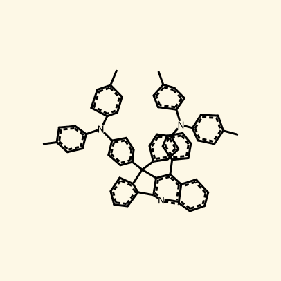 Cc1ccc(N(c2ccc(C)cc2)c2ccc(C3(c4ccc(N(c5ccc(C)cc5)c5ccc(C)cc5)cc4)c4ccccc4-c4nc5ccccc5c(-c5ccccc5)c43)cc2)cc1